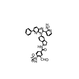 CS(=O)(=O)Nc1ccc(C(=O)N[C@H]2CCc3cc(-n4c(-c5cccnc5N)nc5ccc(-c6ccccc6)nc54)ccc32)cc1C=O